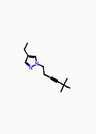 CCc1cnn(CCC#CC(C)(C)C)c1